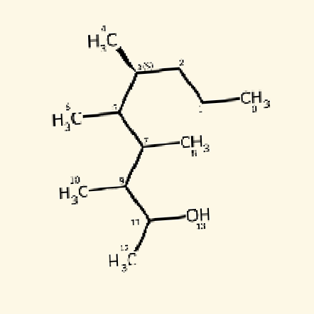 CCC[C@H](C)C(C)C(C)C(C)C(C)O